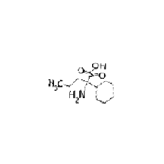 CCCC(N)(C1CCCCC1)S(=O)(=O)O